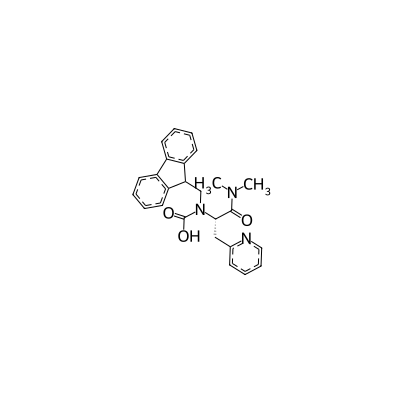 CN(C)C(=O)[C@H](Cc1ccccn1)N(CC1c2ccccc2-c2ccccc21)C(=O)O